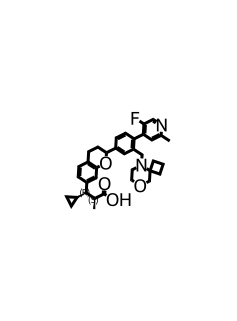 Cc1cc(-c2ccc(C3CCc4ccc([C@H](C5CC5)[C@H](C)C(=O)O)cc4O3)cc2CN2CCOCC23CCC3)c(F)cn1